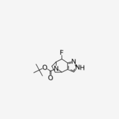 CC(C)(C)OC(=O)N1C2CCC1C(F)c1n[nH]cc12